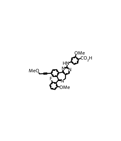 COCC#Cc1ccc2c(c1)C(c1c(F)cccc1OC)=NCc1cnc(Nc3ccc(C(=O)O)c(OC)c3)nc1-2